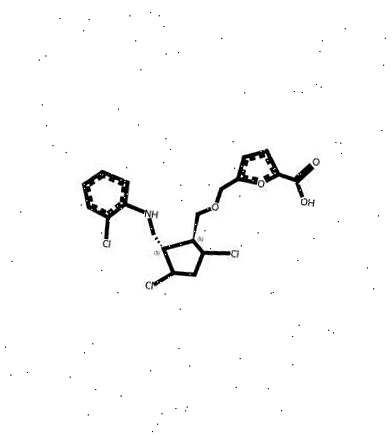 O=C(O)c1ccc(COC[C@H]2C(Cl)CC(Cl)[C@@H]2CNc2ccccc2Cl)o1